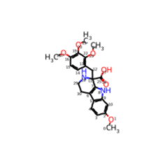 COc1ccc2c3c([nH]c2c1)C(Cc1ccc(OC)c(OC)c1OC)(C(=O)O)NCC3